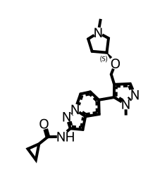 CN1CC[C@H](OCc2cnn(C)c2-c2ccn3nc(NC(=O)C4CC4)cc3c2)C1